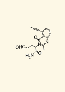 CC#Cc1cccc2nc(C)n(C(CCC=O)C(N)=O)c(=O)c12